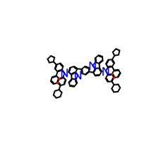 c1ccc(-c2cc(C3CCCC3)ccc2N(c2ccc(C3CCCCC3)cc2)c2ccc3c4cc5c(cc4n4c6ccccc6c2c34)c2ccc(N(c3ccc(C4CCCCC4)cc3)c3ccc(C4CCCC4)cc3-c3ccccc3)c3c4ccccc4n5c23)cc1